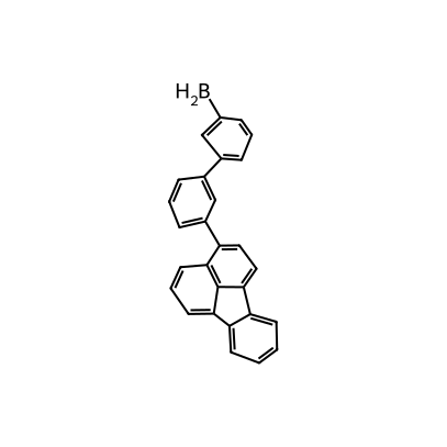 Bc1cccc(-c2cccc(-c3ccc4c5c(cccc35)-c3ccccc3-4)c2)c1